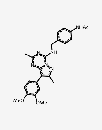 COc1ccc(-c2c(C)nn3c(NCc4ccc(NC(C)=O)cc4)nc(C)nc23)cc1OC